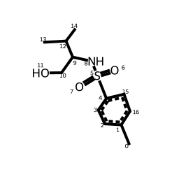 Cc1ccc(S(=O)(=O)NC(CO)C(C)C)cc1